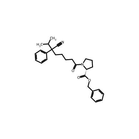 CC(C)C(C#N)(CCCCC(=O)N1CCC[C@@H]1C(=O)OCc1ccccc1)c1ccccc1